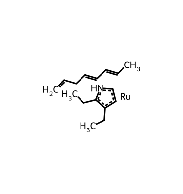 C=CCC=CC=CC.CCc1cc[nH]c1CC.[Ru]